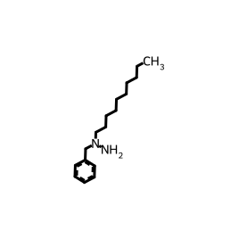 CCCCCCCCCCN(N)Cc1ccccc1